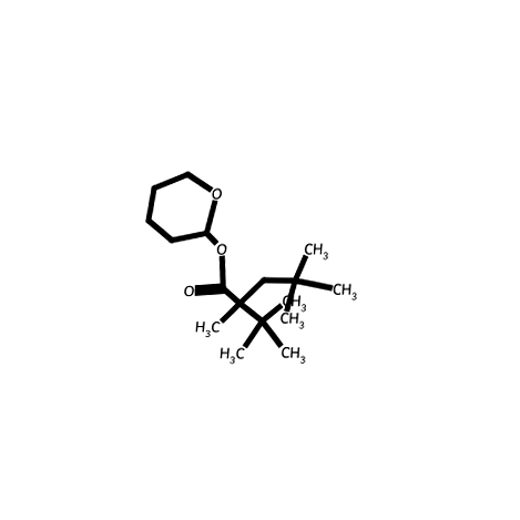 CC(C)(C)CC(C)(C(=O)OC1CCCCO1)C(C)(C)C